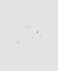 COC(=O)N[C@H]1CCC[C@@H]1[C@](CN1CCC1)(c1cccc(F)c1)C1CCN(C2CC[C@@H](Nc3ccc(C#N)cc3)C2)CC1